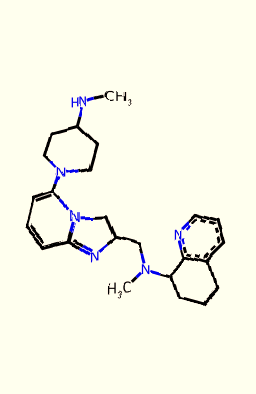 CNC1CCN(C2=CC=CC3=NC(CN(C)C4CCCc5cccnc54)CN23)CC1